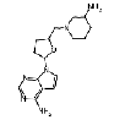 Nc1ncnc2c1ccn2C1CCC(CN2CCCC(N)C2)O1